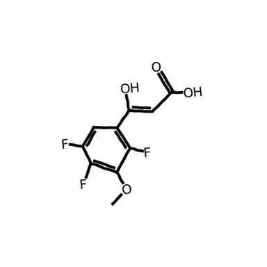 COc1c(F)c(F)cc(C(O)=CC(=O)O)c1F